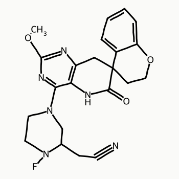 COc1nc2c(c(N3CCN(F)C(CC#N)C3)n1)NC(=O)C1(CCOc3ccccc31)C2